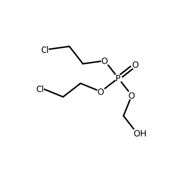 O=P(OCO)(OCCCl)OCCCl